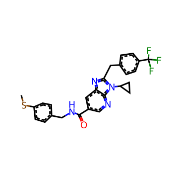 CSc1ccc(CNC(=O)c2cnc3c(c2)nc(Cc2ccc(C(F)(F)F)cc2)n3C2CC2)cc1